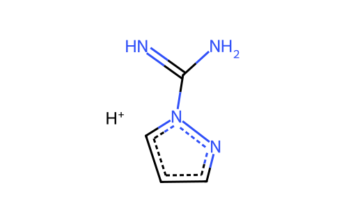 N=C(N)n1cccn1.[H+]